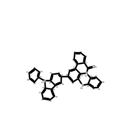 O=c1c2ccccc2c2cc(-c3ccc4c(c3)c3ccccc3n4-c3ccccc3)cc3c2n1-c1ccccc1S3